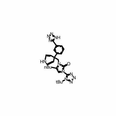 CCCCc1cn(-c2nnnn2C(C)(C)C)c(=O)n1CC1(c2cccc(-c3nnn[nH]3)c2)C=CNC=C1